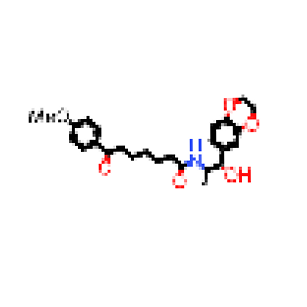 COc1ccc(C(=O)CCCCCC(=O)N[C@H](C)[C@H](O)c2ccc3c(c2)OCCO3)cc1